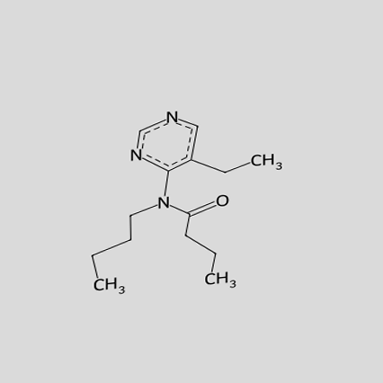 CCCCN(C(=O)CCC)c1ncncc1CC